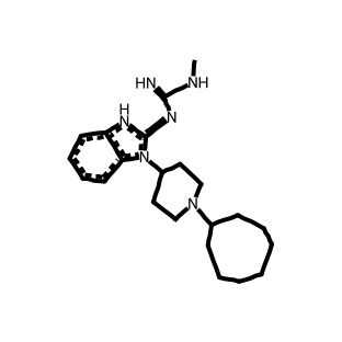 CNC(=N)/N=c1\[nH]c2ccccc2n1C1CCN(C2CCCCCCC2)CC1